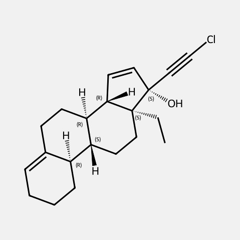 CC[C@]12CC[C@H]3[C@@H](CCC4=CCCC[C@@H]43)[C@@H]1C=C[C@@]2(O)C#CCl